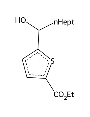 CCCCCCCC(O)c1ccc(C(=O)OCC)s1